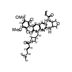 C=CC(=O)NC1COCC1Nc1ncc2cc(-c3c(Cl)c(OC)cc(OC)c3Cl)c(=O)n(CC3CN(C(=O)/C=C/CN(C)C)C3)c2n1